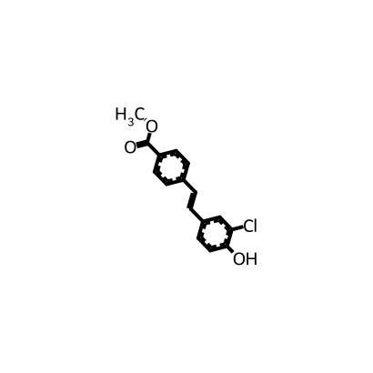 COC(=O)c1ccc(C=Cc2ccc(O)c(Cl)c2)cc1